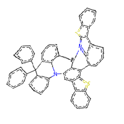 c1ccc(C2(c3ccccc3)c3ccccc3N3c4cc5c(sc6ccccc65)c5c4B(c4cccc2c43)n2c3sc4ccccc4c3c3cccc-5c32)cc1